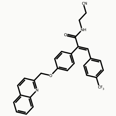 N#CCCNC(=O)/C(=C/c1ccc(C(F)(F)F)cc1)c1ccc(OCc2ccc3ccccc3n2)cc1